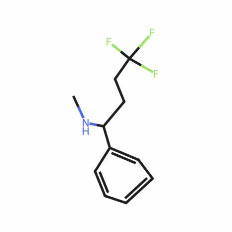 CNC(CCC(F)(F)F)c1ccccc1